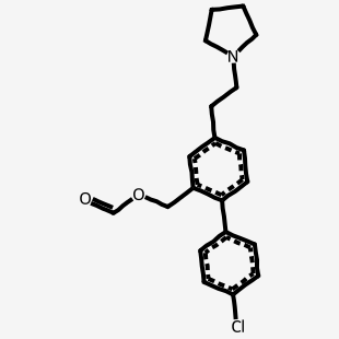 O=COCc1cc(CCN2CCCC2)ccc1-c1ccc(Cl)cc1